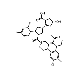 CC[C@H](NC(C)=O)c1cc(C)c(Cl)cc1C1CCN(C(=O)[C@@H]2CC(N3C[C@H](O)C[C@@H]3C(=O)O)C[C@H]2C2C=CC(F)=CC2F)CC1